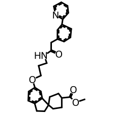 COC(=O)C1CCC2(CCc3ccc(OCCCNC(=O)Cc4cccc(-c5ccccn5)c4)cc32)CC1